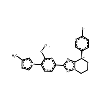 COc1nc(-c2nc3n(n2)CCC[C@@H]3c2ccc(Br)nc2)ccc1-n1cnc(C)c1